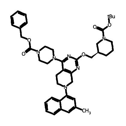 Cc1cc(N2CCc3c(nc(OC[C@@H]4CCCN(C(=O)OC(C)(C)C)C4)nc3N3CCN(C(=O)OCc4ccccc4)CC3)C2)c2ccccc2c1